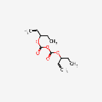 C=CC(CC)OC(=O)OC(=O)OC(C=C)CC